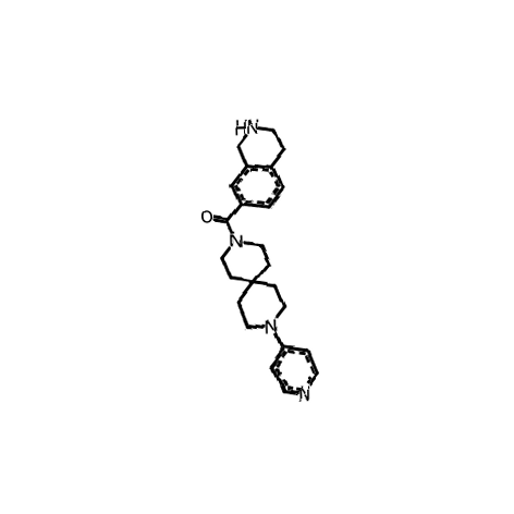 O=C(c1ccc2c(c1)CNCC2)N1CCC2(CC1)CCN(c1ccncc1)CC2